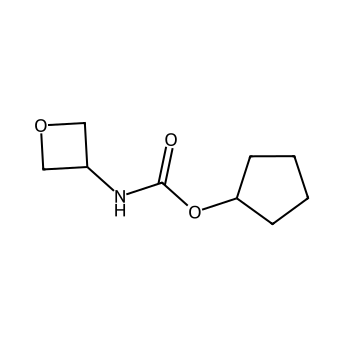 O=C(NC1COC1)OC1CCCC1